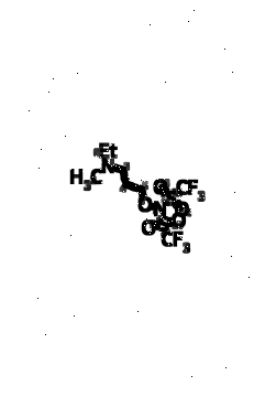 CCN(C)CCCON(S(=O)(=O)C(F)(F)F)S(=O)(=O)C(F)(F)F